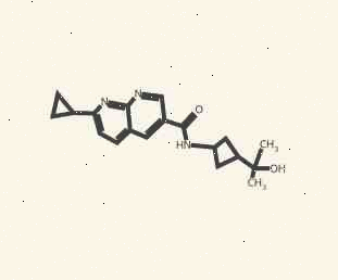 CC(C)(O)C1CC(NC(=O)c2cnc3nc(C4CC4)ccc3c2)C1